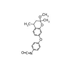 COC1(C)CC(C)c2ccc(Oc3ccc(N=C=O)cc3)cc2O1